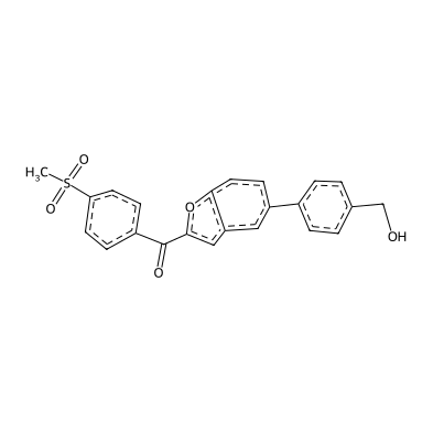 CS(=O)(=O)c1ccc(C(=O)c2cc3cc(-c4ccc(CO)cc4)ccc3o2)cc1